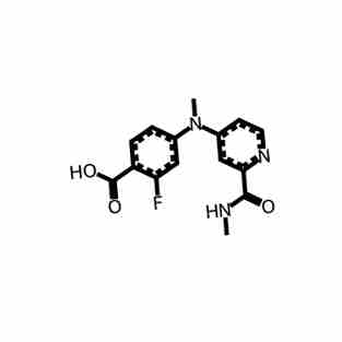 CNC(=O)c1cc(N(C)c2ccc(C(=O)O)c(F)c2)ccn1